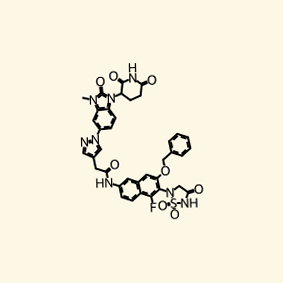 Cn1c(=O)n(C2CCC(=O)NC2=O)c2ccc(-n3cc(CC(=O)Nc4ccc5c(F)c(N6CC(=O)NS6(=O)=O)c(OCc6ccccc6)cc5c4)cn3)cc21